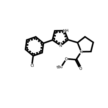 CC(C)(C)OC(=O)N1CCCC1c1nc(-c2cccc(Cl)c2)c[nH]1